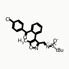 Cc1onc(/C=N/[S@@+]([O-])C(C)(C)C)c1-c1ccccc1C(=O)c1ccc(Cl)cc1